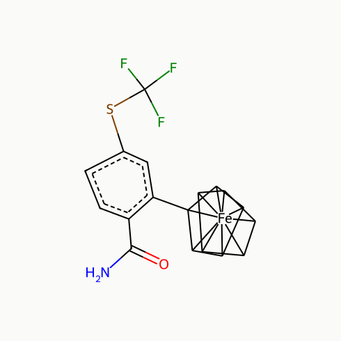 NC(=O)c1ccc(SC(F)(F)F)cc1[C]12[CH]3[CH]4[CH]5[CH]1[Fe]45321678[CH]2[CH]1[CH]6[CH]7[CH]28